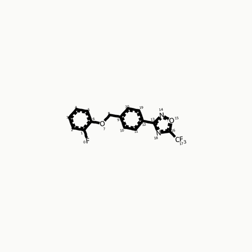 Fc1ccccc1OCc1ccc(-c2noc(C(F)(F)F)n2)cc1